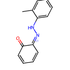 Cc1ccccc1N/N=C1/C=CC=CC1=O